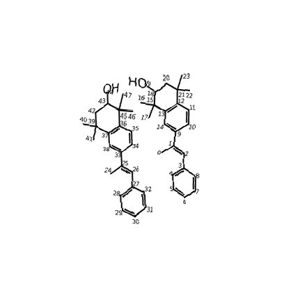 C/C(=C\c1ccccc1)c1ccc2c(c1)C(C)(C)C(O)CC2(C)C.C/C(=C\c1ccccc1)c1ccc2c(c1)C(C)(C)CC(O)C2(C)C